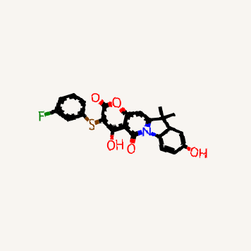 CC1(C)c2cc3oc(=O)c(Sc4cccc(F)c4)c(O)c3c(=O)n2C2C=CC(O)=CC21